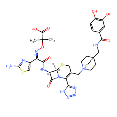 CC(C)(O/N=C(\C(=O)N[C@@H]1C(=O)N2C(c3nnn[nH]3)=C(C[N+]34CCC(CNC(=O)c5ccc(O)c(O)c5)(CC3)CC4)CS[C@H]12)c1csc(N)n1)C(=O)O